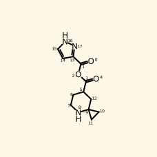 O=C(OC(=O)C1CCNC2(CC2)C1)c1cc[nH]n1